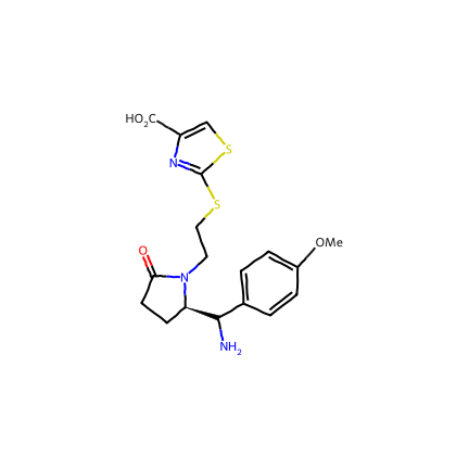 COc1ccc(C(N)[C@H]2CCC(=O)N2CCSc2nc(C(=O)O)cs2)cc1